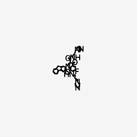 CN1CCN(CCCNc2c(F)cc3c(=O)c(C(=O)NCCCn4ccnc4)cn4c3c2Oc2cc3c(cc2-4)Cc2ccccc2-3)CC1